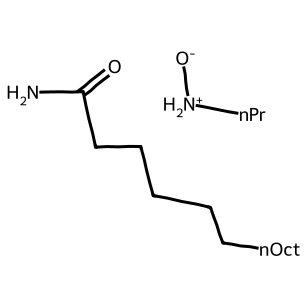 CCCCCCCCCCCCCC(N)=O.CCC[NH2+][O-]